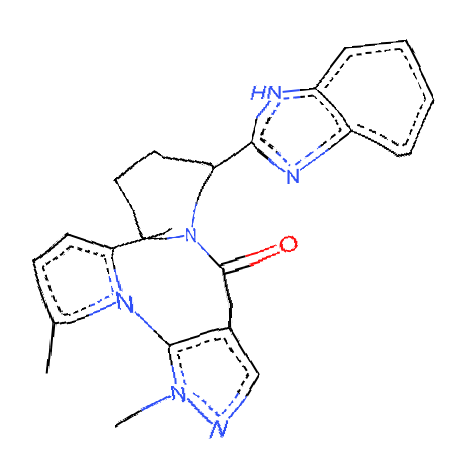 Cc1ccc(C)n1-c1c(C(=O)N2CCCC2c2nc3ccccc3[nH]2)cnn1C